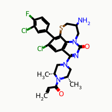 C=CC(=O)N1[C@H](C)CN(c2nc(=O)n3c4c(c(-c5ccc(F)c(Cl)c5)c(Cl)cc24)SCC(N)C3)C[C@@H]1C